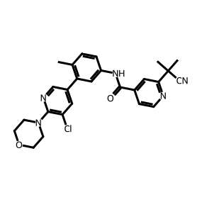 Cc1ccc(NC(=O)c2ccnc(C(C)(C)C#N)c2)cc1-c1cnc(N2CCOCC2)c(Cl)c1